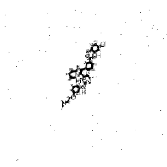 CN(C)CCOc1cccc(NC2N=CC=C(c3c(-c4cccc(C(=O)Nc5cc(Cl)ccc5F)c4)nc4ccccn34)N2)c1